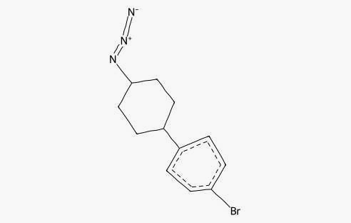 [N-]=[N+]=NC1CCC(c2ccc(Br)cc2)CC1